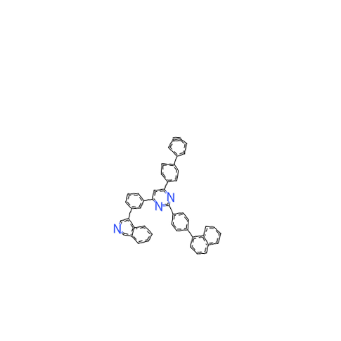 c1ccc(-c2ccc(-c3cc(-c4cccc(-c5cncc6ccccc56)c4)nc(-c4ccc(-c5cccc6ccccc56)cc4)n3)cc2)cc#1